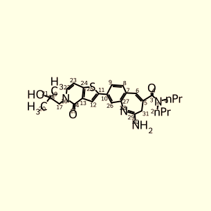 CCCN(CCC)C(=O)C1=Cc2ccc(-c3cc4c(=O)n(CC(C)(C)O)ccc4s3)cc2N=C(N)C1